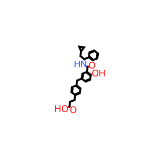 O=C(O)CCc1ccc(Cc2ccc(O)c(C(=O)NC(CC3CC3)c3ccccc3)c2)cc1